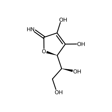 N=C1O[C@H]([C@@H](O)CO)C(O)=C1O